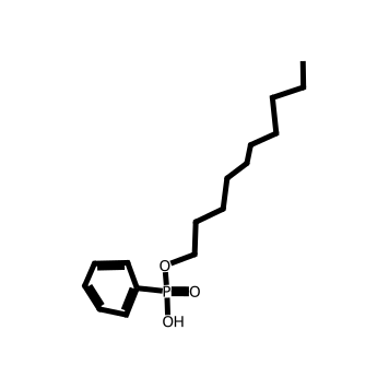 CCCCCCCCCCOP(=O)(O)c1ccccc1